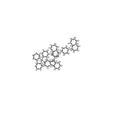 c1ccc2c(c1)-c1ccccc1C21c2ccccc2-c2c1ccc1c3ccccc3n(-c3nc(-c4ccc(-c5cccc6ccccc56)cc4)c4ccccc4n3)c21